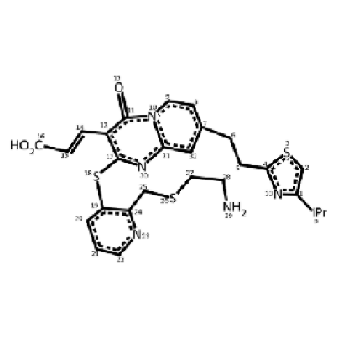 CC(C)c1csc(CCc2ccn3c(=O)c(C=CC(=O)O)c(Sc4cccnc4CSCCN)nc3c2)n1